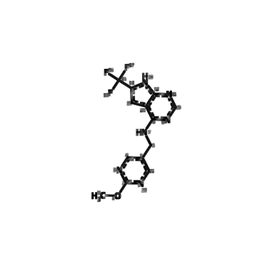 COc1ncc(CNc2ncnc3[nH]c(C(F)(F)F)cc23)cn1